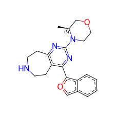 C[C@H]1COCCN1c1nc2c(c(-c3occ4ccccc34)n1)CCNCC2